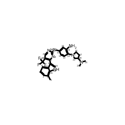 Cc1cccc2c(-c3nc(Nc4ccc(N5CCC(N(C)C)C5)c(N)c4)ncc3C(F)(F)F)c[nH]c12